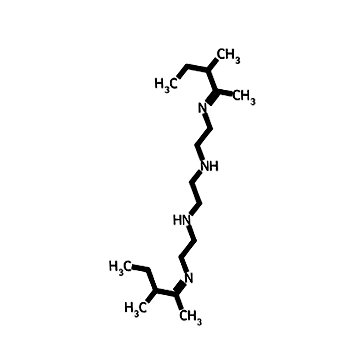 CCC(C)C(C)=NCCNCCNCCN=C(C)C(C)CC